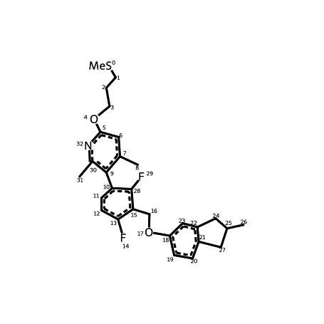 CSCCCOc1cc(C)c(-c2ccc(F)c(COc3ccc4c(c3)CC(C)C4)c2F)c(C)n1